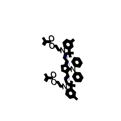 C=C(C)C(=O)OCCN1/C(=C/C=C2\CCC(/C=C/C3=[N+](CCOC(=O)C(=C)C)c4ccc(C)cc4C3(C)C)=C2N(c2ccccc2)c2ccccc2)C(C)(C)c2cc(C)ccc21